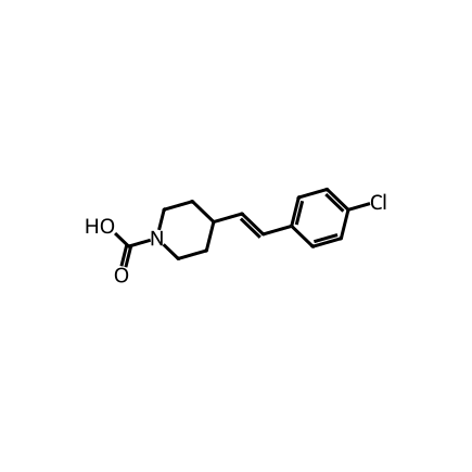 O=C(O)N1CCC(C=Cc2ccc(Cl)cc2)CC1